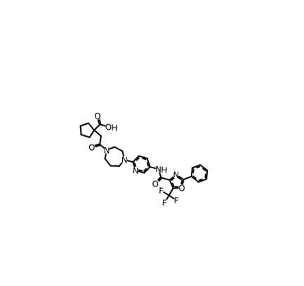 O=C(Nc1ccc(N2CCCN(C(=O)CC3(C(=O)O)CCCC3)CC2)nc1)c1nc(-c2ccccc2)oc1C(F)(F)F